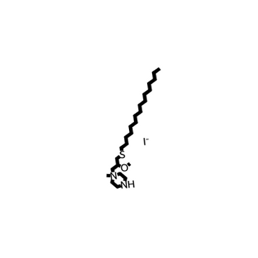 CCCCCCCCCCCCCCCCSCC(C[N+]1(C)CCNCC1)OC.[I-]